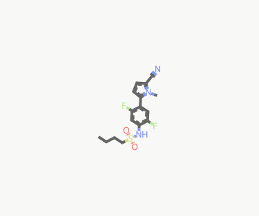 CCCCS(=O)(=O)Nc1cc(F)c(-c2ccc(C#N)n2C)cc1F